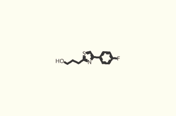 OCCCc1nc(-c2ccc(F)cc2)cs1